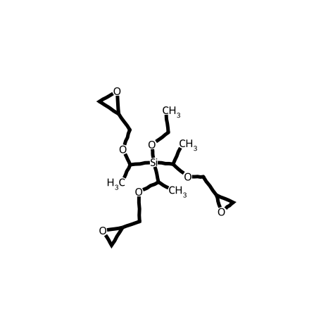 CCO[Si](C(C)OCC1CO1)(C(C)OCC1CO1)C(C)OCC1CO1